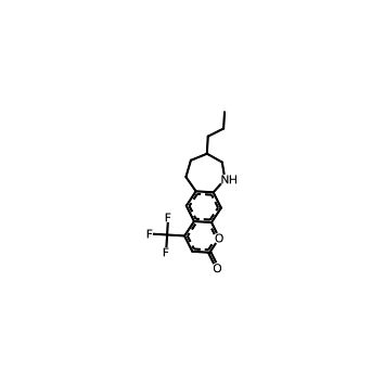 CCCC1CCc2cc3c(C(F)(F)F)cc(=O)oc3cc2NC1